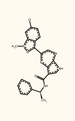 C[C@H](NC(=O)c1c[nH]c2ncc(-c3nn(C)c4cc(Cl)ccc34)nc12)c1ccccc1